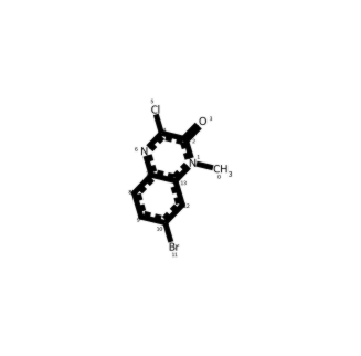 Cn1c(=O)c(Cl)nc2ccc(Br)cc21